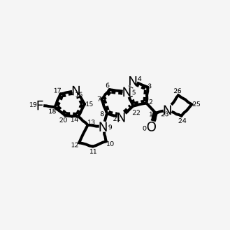 O=C(c1cnn2ccc(N3CCCC3c3cncc(F)c3)nc12)N1CCC1